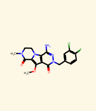 COc1c2n(c3c(N)nn(Cc4ccc(F)c(Cl)c4)c(=O)c13)CCN(C)C2=O